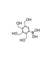 OCc1cc(B(O)O)c(CO)c(CO)c1CO